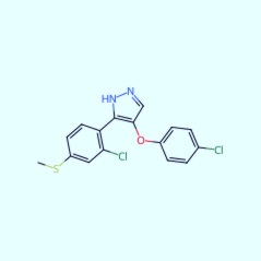 CSc1ccc(-c2[nH]ncc2Oc2ccc(Cl)cc2)c(Cl)c1